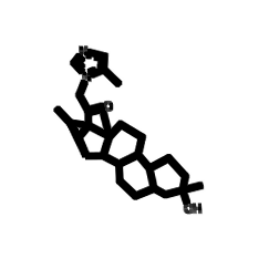 Cc1cncn1CC(=O)C12C3C(C4C5CCC6CC(C)(O)CCC6C5CCC41C)C32C